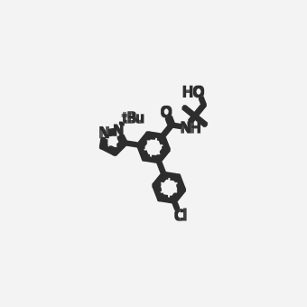 CC(C)(CO)NC(=O)c1cc(-c2ccc(Cl)cc2)cc(-c2ccnn2C(C)(C)C)c1